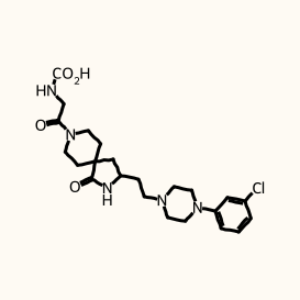 O=C(O)NCC(=O)N1CCC2(CC1)CC(CCN1CCN(c3cccc(Cl)c3)CC1)NC2=O